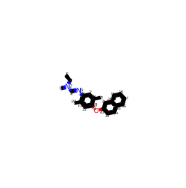 CCN(C)/C=N/c1cc(C)c(Oc2ccc3ccccc3c2)cc1C